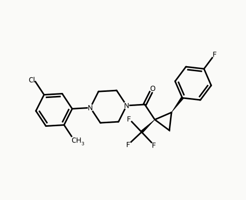 Cc1ccc(Cl)cc1N1CCN(C(=O)[C@@]2(C(F)(F)F)C[C@@H]2c2ccc(F)cc2)CC1